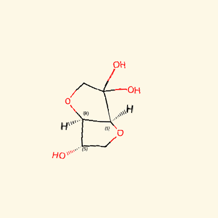 O[C@H]1CO[C@H]2[C@@H]1OCC2(O)O